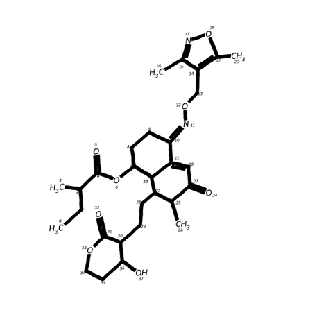 CCC(C)C(=O)OC1CCC(=NOCc2c(C)noc2C)C2=CC(=O)C(C)C(CCC3C(=O)OCCC3O)C21